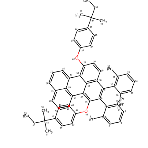 CC(C)c1cccc(C(C)C)c1-c1c(-c2c(C(C)C)cccc2C(C)C)c2ccc(Oc3ccc(C(C)(C)CC(C)(C)C)cc3)c3c4cccc5cccc(c(c1Oc1ccc(C(C)(C)CC(C)(C)C)cc1)c23)c54